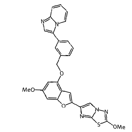 COc1cc(OCc2cccc(-c3cnc4ccccn34)c2)c2cc(-c3cn4nc(OC)sc4n3)oc2c1